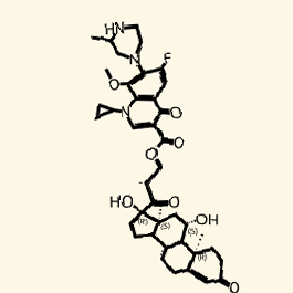 COc1c(N2CCNC(C)C2)c(F)cc2c(=O)c(C(=O)OC[CH]C(=O)[C@@]3(O)CCC4C5CCC6=CC(=O)CC[C@]6(C)C5[C@@H](O)C[C@@]43C)cn(C3CC3)c12